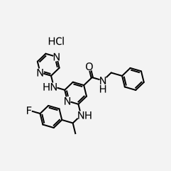 CC(Nc1cc(C(=O)NCc2ccccc2)cc(Nc2cnccn2)n1)c1ccc(F)cc1.Cl